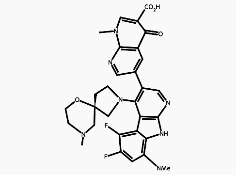 CNc1cc(F)c(F)c2c1[nH]c1ncc(-c3cnc4c(c3)c(=O)c(C(=O)O)cn4C)c(N3CC[C@]4(CN(C)CCO4)C3)c12